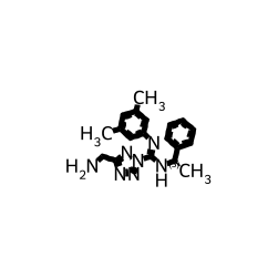 Cc1cc(C)cc(N=C(N[C@@H](C)c2ccccc2)n2nnc(CN)n2)c1